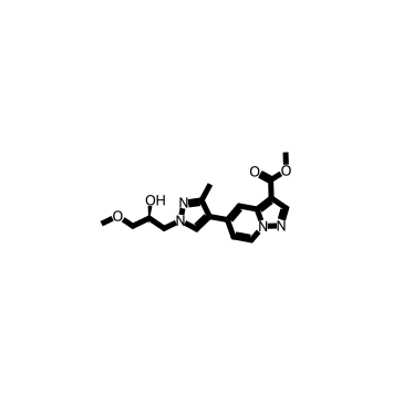 COC[C@@H](O)Cn1cc(-c2ccn3ncc(C(=O)OC)c3c2)c(C)n1